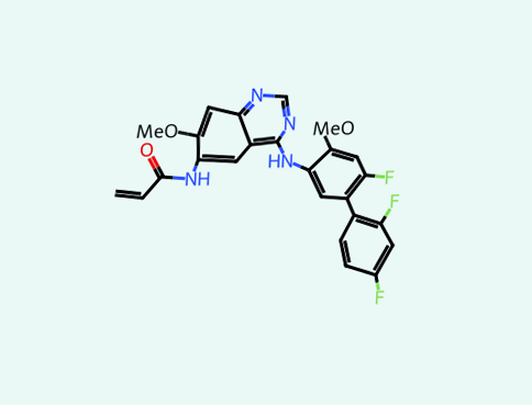 C=CC(=O)Nc1cc2c(Nc3cc(-c4ccc(F)cc4F)c(F)cc3OC)ncnc2cc1OC